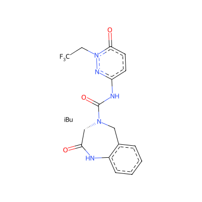 CC[C@H](C)[C@H]1C(=O)Nc2ccccc2CN1C(=O)Nc1ccc(=O)n(CC(F)(F)F)n1